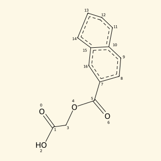 O=C(O)COC(=O)c1ccc2ccccc2c1